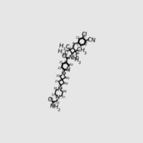 CC1(C)C(Cc2ccc(C#N)c(Cl)c2)C(C)(C)C1NC(=O)c1ccc(N2CC3(CC(N4CCN(CC(N)=O)CC4)C3)C2)nc1